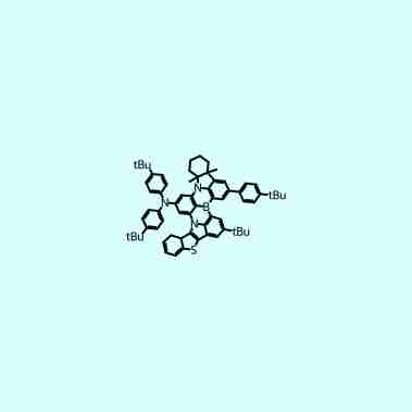 CC(C)(C)c1ccc(-c2cc3c4c(c2)C2(C)CCCCC2(C)N4c2cc(N(c4ccc(C(C)(C)C)cc4)c4ccc(C(C)(C)C)cc4)cc4c2B3c2cc(C(C)(C)C)cc3c5c(n-4c23)C2CC=CC=C2S5)cc1